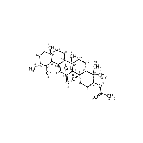 CC(=O)O[C@H]1CC[C@@]2(C)C(CC[C@]3(C)C2C(=O)C=C2C4[C@@H](C)[C@H](C)CC[C@]4(C)CC[C@]23C)C1(C)C